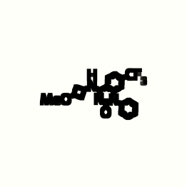 COC1CC(Nc2nc(=O)n(-c3ccccc3)c3cc(C(F)(F)F)ccc23)C1